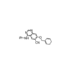 CC(C)Nc1ncnc2cc(OCC3=C[CH]CC=C3)c(C#N)cc12